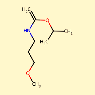 C=C(NCCCOC)OC(C)C